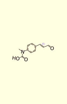 CN(C(=O)O)c1ccc(/C=C/C=O)cc1